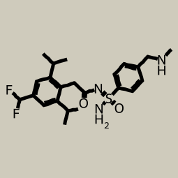 CNCc1ccc(S(N)(=O)=NC(=O)Cc2c(C(C)C)cc(C(F)F)cc2C(C)C)cc1